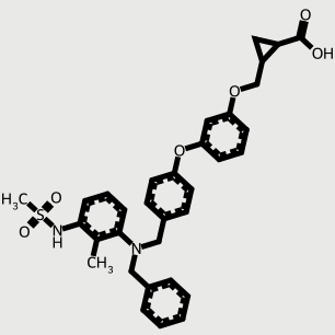 Cc1c(NS(C)(=O)=O)cccc1N(Cc1ccccc1)Cc1ccc(Oc2cccc(OCC3CC3C(=O)O)c2)cc1